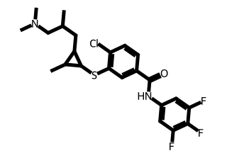 CC(CC1C(C)C1Sc1cc(C(=O)Nc2cc(F)c(F)c(F)c2)ccc1Cl)CN(C)C